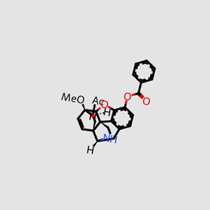 CO[C@]12C=C[C@@]3(C[C@@H]1C(C)=O)[C@H]1Cc4ccc(OC(=O)c5ccccc5)c5c4[C@@]3(CCN1)[C@H]2O5